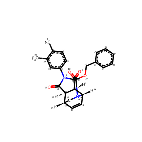 N#Cc1ccc(N2C(=O)[C@@H]3[C@H](C2=O)[C@H]2C=C[C@@H]3N(C(=O)OCc3ccccc3)C2)cc1C(F)(F)F